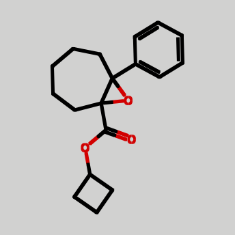 O=C(OC1CCC1)C12CCCCCC1(c1ccccc1)O2